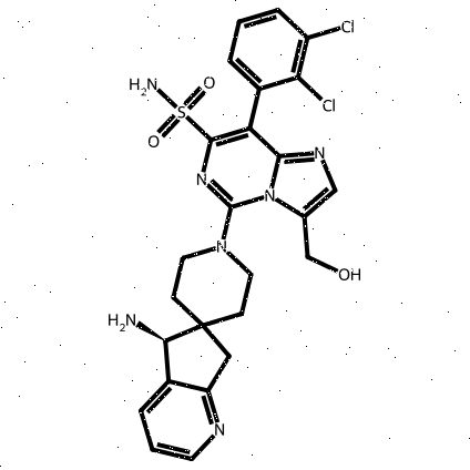 N[C@@H]1c2cccnc2CC12CCN(c1nc(S(N)(=O)=O)c(-c3cccc(Cl)c3Cl)c3ncc(CO)n13)CC2